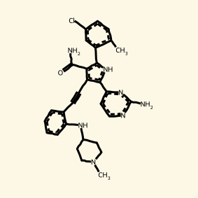 Cc1ccc(Cl)cc1-c1[nH]c(-c2ccnc(N)n2)c(C#Cc2ccccc2NC2CCN(C)CC2)c1C(N)=O